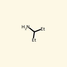 CC[C](N)CC